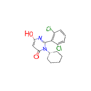 O=c1cc(O)nc(-c2c(Cl)cccc2Cl)n1C1CCCCC1